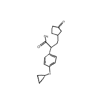 O=C1CCC(CC(C(=O)O)c2ccc(SC3CC3)cc2)C1